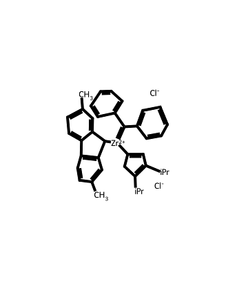 Cc1ccc2c(c1)[CH]([Zr+2]([C]1=CC(C(C)C)=C(C(C)C)C1)=[C](c1ccccc1)c1ccccc1)c1cc(C)ccc1-2.[Cl-].[Cl-]